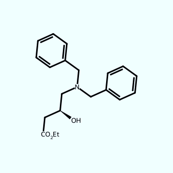 CCOC(=O)C[C@H](O)CN(Cc1ccccc1)Cc1ccccc1